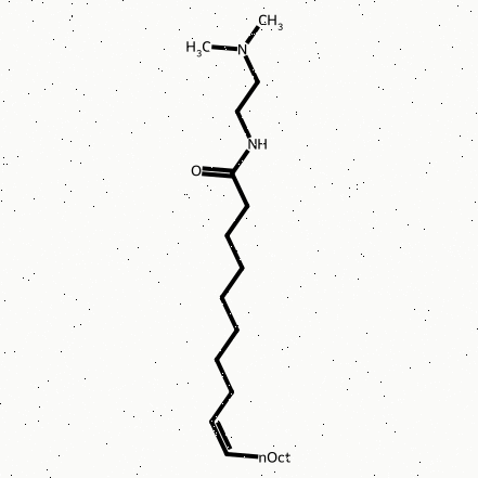 CCCCCCCC/C=C\CCCCCCCC(=O)NCCN(C)C